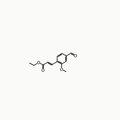 CCOC(=O)C=Cc1ccc(C=O)cc1OC